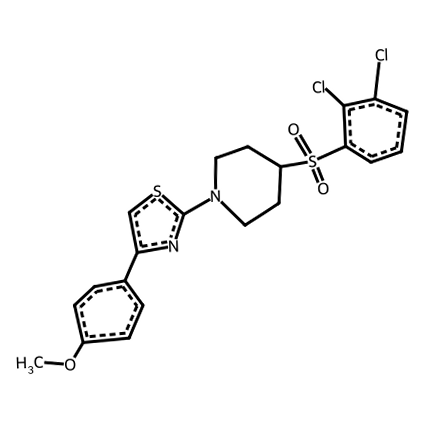 COc1ccc(-c2csc(N3CCC(S(=O)(=O)c4cccc(Cl)c4Cl)CC3)n2)cc1